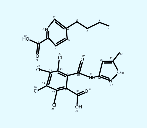 CCCCc1ccc(C(=O)O)nc1.Cc1cc(NC(=O)c2c(Cl)c(Cl)c(Cl)c(Cl)c2C(=O)O)no1